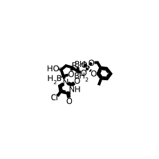 BC(B)(OP1(=O)OCc2cccc(C)c2O1)[C@]1(F)C[C@@H](O)[C@](B)(n2cc(Cl)c(=O)[nH]c2=O)O1